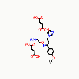 COc1ccc(C(CCn2ccnc2)=NOCCN)cc1.O=C(O)C=CC(=O)O.O=C(O)C=CC(=O)O